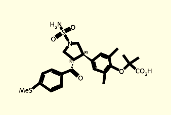 CSc1ccc(C(=O)[C@@H]2CN(S(N)(=O)=O)C[C@H]2c2cc(C)c(OC(C)(C)C(=O)O)c(C)c2)cc1